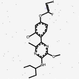 CCC(CC)Nc1nc(C)c(-c2ccc(O/C(F)=C/I)cc2Cl)nc1OC